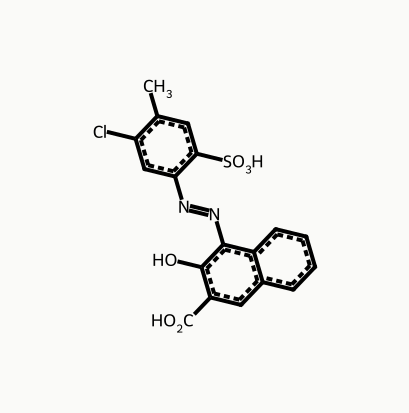 Cc1cc(S(=O)(=O)O)c(/N=N/c2c(O)c(C(=O)O)cc3ccccc23)cc1Cl